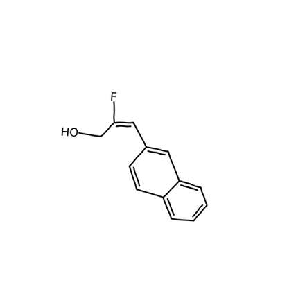 OC/C(F)=C\c1ccc2ccccc2c1